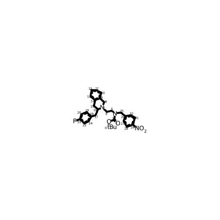 CC(C)(C)OC(=O)N(CCN1Cc2ccccc2CC1Cc1ccc(F)cc1)Cc1ccc([N+](=O)[O-])cc1